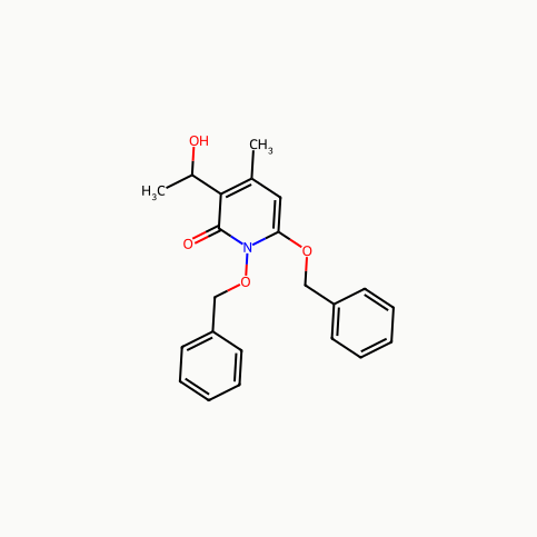 Cc1cc(OCc2ccccc2)n(OCc2ccccc2)c(=O)c1C(C)O